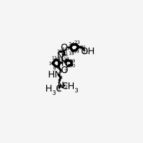 CN(C)CCNC(=O)c1cccc(N2CC(Oc3ccc(CO)cc3)C2)c1-n1cccc1